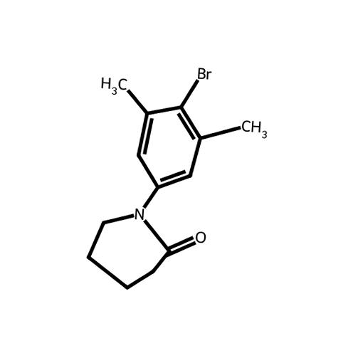 Cc1cc(N2CCCCC2=O)cc(C)c1Br